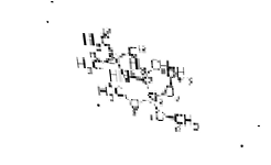 CO[Si](OC)(OC)C(C)N[Si](C)(C)C